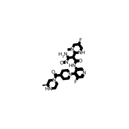 C[C@H]1CN(C(=O)C2CCN(c3c(F)cncc3NC(=O)C(C(N)N=O)C3NCC(F)CN3C)CC2)CCN1